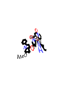 C=CC1CC1(NC(=O)[C@@H]1C[C@@H](Oc2cc(-c3ccccc3)nc3cc(OC)ccc23)CN1C(=O)C(CC(=O)N1CCCCC1)C(C)(C)C)C(=O)O